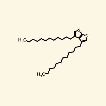 CCCCCCCCCCCCc1csc2scc(CCCCCCCCCCCC)c12